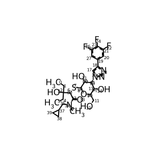 CCC(O)(CC)[C@H](S[C@@H]1O[C@H](CO)[C@H](O)[C@H](n2cc(-c3cc(F)c(F)c(F)c3)nn2)[C@H]1O)C(=O)N(C)CC1CC1